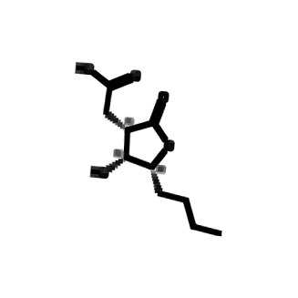 CCCC[C@H]1OC(=O)[C@@H](CC(=O)O)[C@H]1O